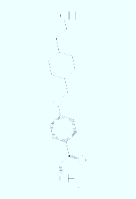 C=CC(=O)c1ccc(OCC2CCC(CCC)CC2)cc1